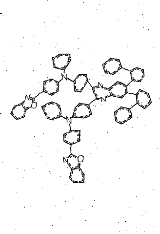 c1ccc(-c2ccccc2-c2cc3nc(-c4ccc(N(c5ccccc5)c5ccc(-c6nc7ccccc7o6)cc5)cc4)c(-c4ccc(N(c5ccccc5)c5ccc(-c6nc7ccccc7o6)cc5)cc4)nc3cc2-c2ccccc2-c2ccccc2)cc1